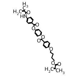 C=C(C)C(=O)Nc1ccc(C(=O)Oc2ccc(OC(=O)c3ccc(OCCCCOC(=O)C(=C)C)cc3)cc2)cc1